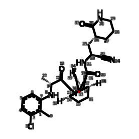 Cc1c(Cl)cccc1N[C@H](C)C(=O)N1[C@@H]2CC[C@H]([C@@H]1C(=O)N[C@H](C#N)C[C@H]1CCCNC1=O)C(F)(F)C2